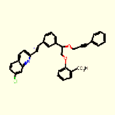 O=C(O)c1ccccc1OCC(OCC#Cc1ccccc1)c1cccc(/C=C/c2ccc3ccc(Cl)cc3n2)c1